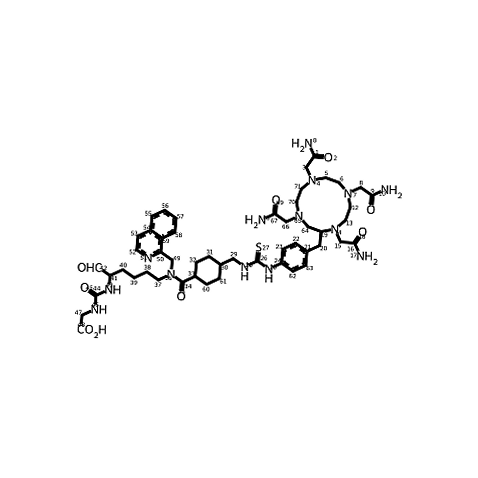 NC(=O)CN1CCN(CC(N)=O)CCN(CC(N)=O)C(Cc2ccc(NC(=S)NCC3CCC(C(=O)N(CCCCC(C=O)NC(=O)NCC(=O)O)Cc4nccc5ccccc45)CC3)cc2)CN(CC(N)=O)CC1